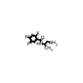 CC(CN)NC(=O)c1cc(F)c(F)cc1F